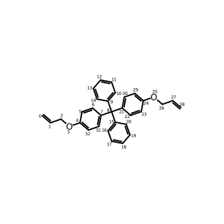 C=CCOc1ccc(C(c2ccccc2)(c2ccccc2)c2ccc(OCC=C)cc2)cc1